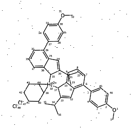 COc1ccc(-c2cccc3c2C=C(C(C)C)[CH]3[Hf+2]2([CH]3C(C(C)C)=Cc4c(-c5ccc(OC)cc5)cccc43)[CH]3CCCC[CH]32)cc1.[Cl-].[Cl-]